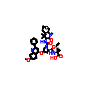 C=C[C@@H]1C[C@]1(NC(=O)[C@@H]1C[C@@H](Oc2cc(-c3ccccc3)nc3cc(OC)ccc23)CN1C(=O)NC(C(=O)N(C)C1CCCCC1)C(C)(C)C)C(=O)O